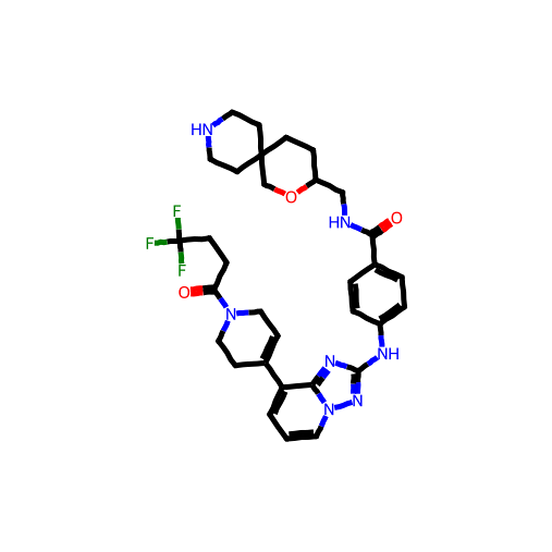 O=C(NCC1CCC2(CCNCC2)CO1)c1ccc(Nc2nc3c(C4=CCN(C(=O)CCC(F)(F)F)CC4)cccn3n2)cc1